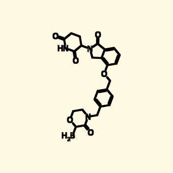 BC1OCCN(Cc2ccc(COc3cccc4c3CN(C3CCC(=O)NC3=O)C4=O)cc2)C1=O